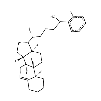 C[C@H](CCCC(O)c1ccccc1F)[C@H]1CC[C@H]2[C@@H]3CC=C4CCCC[C@]4(C)[C@H]3CC[C@]12C